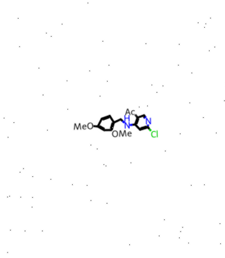 COc1ccc(CNc2cc(Cl)ncc2C(C)=O)c(OC)c1